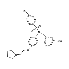 CCc1ccc(S(=O)(=O)N(Cc2cccc(O)c2)c2ccc(OCCN3CCCC3)cc2)cc1